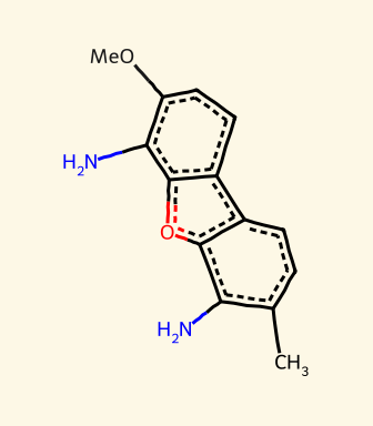 COc1ccc2c(oc3c(N)c(C)ccc32)c1N